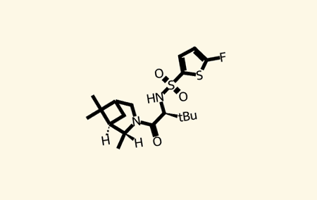 C[C@@H]1[C@@H]2CC(CN1C(=O)[C@@H](NS(=O)(=O)c1ccc(F)s1)C(C)(C)C)C2(C)C